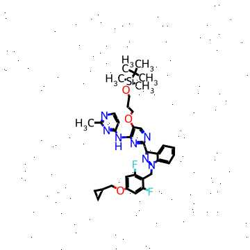 Cc1nccc(Nc2nc(-c3nn(Cc4c(F)cc(OCC5CC5)cc4F)c4ccccc34)ncc2OCCCO[Si](C)(C)C(C)(C)C)n1